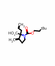 C=CCC1(C(=O)O)C(=C)CCN1C(=O)OCCC(C)(C)C